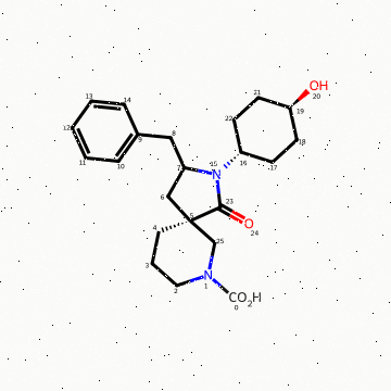 O=C(O)N1CCC[C@@]2(CC(Cc3ccccc3)N([C@H]3CC[C@H](O)CC3)C2=O)C1